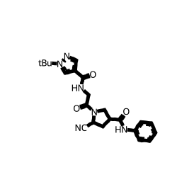 CC(C)(C)n1cc(C(=O)NCC(=O)N2CC(C(=O)Nc3ccccc3)CC2C#N)cn1